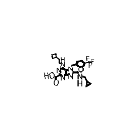 O=C(O)c1nc(NCCC2CCC2)c2c(n1)nc(C(=O)NCC1CC1)n2Cc1ccc(C(F)(F)F)cc1